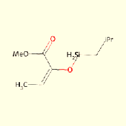 CC=C(O[SiH2]CC(C)C)C(=O)OC